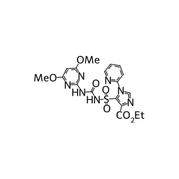 CCOC(=O)c1ncn(-c2ccccn2)c1S(=O)(=O)NC(=O)Nc1nc(OC)cc(OC)n1